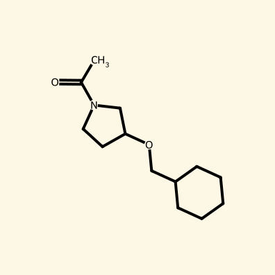 CC(=O)N1CCC(OCC2CCCCC2)C1